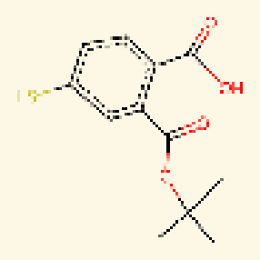 CC(C)(C)OC(=O)c1cc(S)ccc1C(=O)O